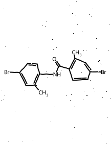 Cc1cc(Br)ccc1NC(=O)c1ccc(Br)cc1C